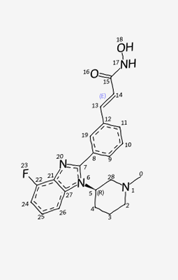 CN1CCC[C@@H](n2c(-c3cccc(/C=C/C(=O)NO)c3)nc3c(F)cccc32)C1